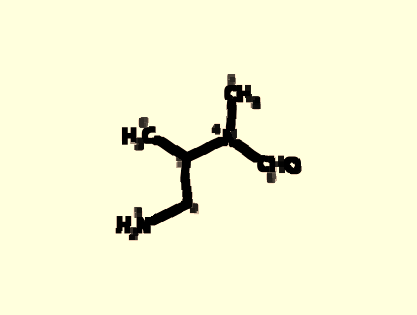 CC(CN)N(C)C=O